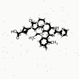 CCOC(=O)C1=C(CN2CCN3C(=O)N(C45CC(C(=O)O)(C4)C5)CC3C2)NC(c2nccs2)=NC1c1cccc(F)c1C